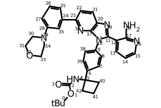 CC(C)(C)OC(=O)NC1(c2ccc(-n3c(-c4cccnc4N)nc4ccc(-c5cccc(N6CCOCC6)c5)nc43)cc2)CCC1